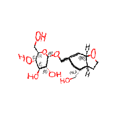 OC[C@@H]1C(CO[C@@H]2O[C@H](CO)[C@@H](O)[C@H](O)[C@H]2O)=C[C@@H]2OCC[C@@H]21